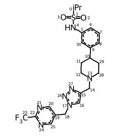 CC(C)S(=O)(=O)Nc1cccc(C2CCN(Cc3cn(Cc4cnc(C(F)(F)F)nc4)nn3)CC2)c1